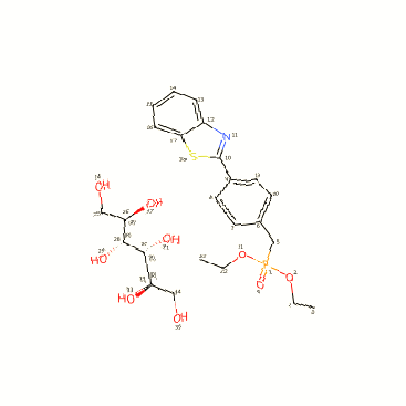 CCOP(=O)(Cc1ccc(-c2nc3ccccc3s2)cc1)OCC.OC[C@@H](O)[C@@H](O)[C@H](O)[C@H](O)CO